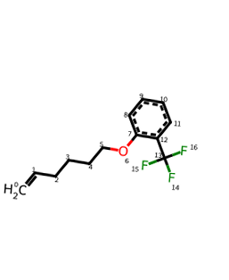 C=CCCCCOc1ccccc1C(F)(F)F